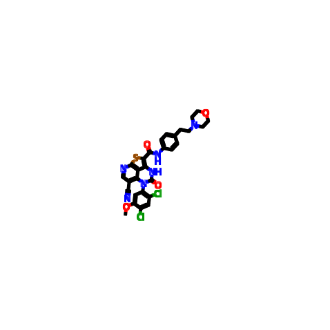 COc1cc(N2C(=O)Nc3c(C(=O)Nc4ccc(CCN5CCOCC5)cc4)sc4ncc(C#N)c2c34)c(Cl)cc1Cl